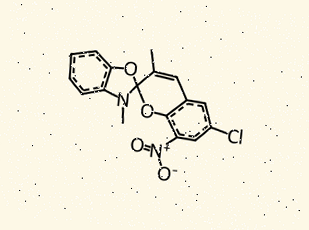 CC1=Cc2cc(Cl)cc([N+](=O)[O-])c2OC12Oc1ccccc1N2C